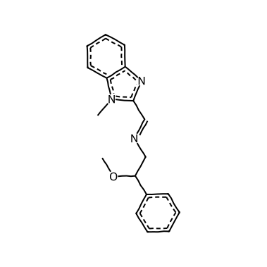 COC(CN=Cc1nc2ccccc2n1C)c1ccccc1